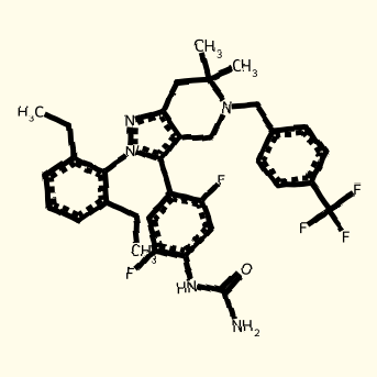 CCc1cccc(CC)c1-n1nc2c(c1-c1cc(F)c(NC(N)=O)cc1F)CN(Cc1ccc(C(F)(F)F)cc1)C(C)(C)C2